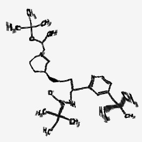 CC(C)(C)OC(O)N1CC[C@H](CCC(N[S+]([O-])C(C)(C)C)c2cc(C(C)(C)C)ccn2)C1